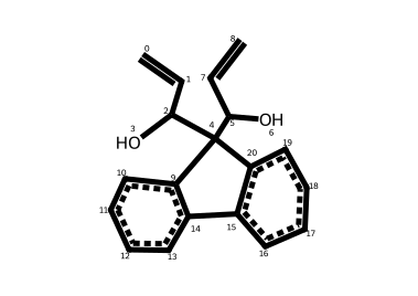 C=CC(O)C1(C(O)C=C)c2ccccc2-c2ccccc21